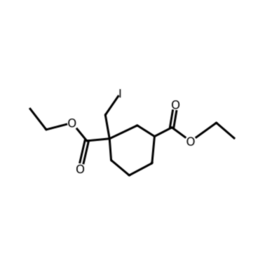 CCOC(=O)C1CCCC(CI)(C(=O)OCC)C1